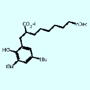 CCCCCCCCCCCCCCCCC(Cc1cc(C(C)(C)C)cc(C(C)(C)C)c1O)C(=O)O